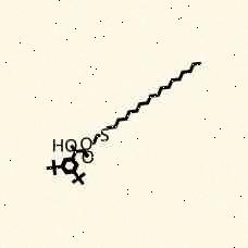 CCCCCCCCCCCCCCCCCCSCCOC(=O)C(O)c1cc(C(C)(C)C)cc(C(C)(C)C)c1